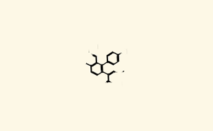 COC=C(C(=O)O)c1ccc(C)c(C=NO)c1-c1ccc(Cl)cc1